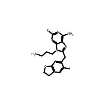 NCCCn1c(Cc2cc3c(cc2I)CCO3)nc2c(N)nc(F)nc21